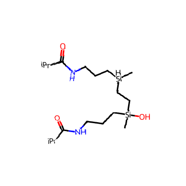 CC(C)C(=O)NCCC[SiH](C)CC[Si](C)(O)CCCNC(=O)C(C)C